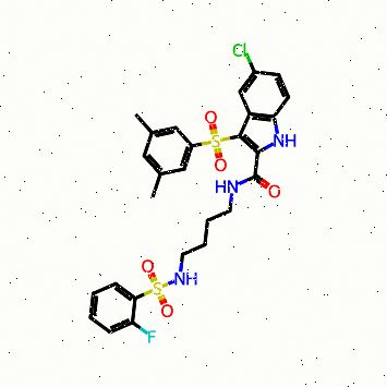 Cc1cc(C)cc(S(=O)(=O)c2c(C(=O)NCCCCNS(=O)(=O)c3ccccc3F)[nH]c3ccc(Cl)cc23)c1